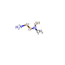 CN(S)SSN